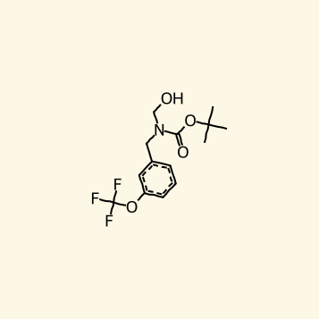 CC(C)(C)OC(=O)N(CO)Cc1cccc(OC(F)(F)F)c1